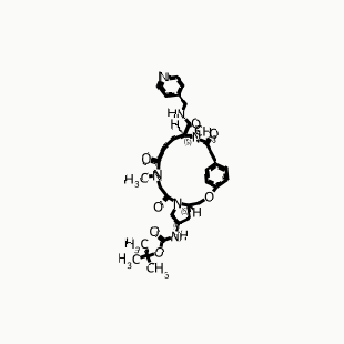 CN1CC(=O)N2C[C@H](NC(=O)OC(C)(C)C)C[C@H]2COc2ccc(cc2)C(=O)N(C)[C@H](C(=O)NCc2ccncc2)CCC1=O